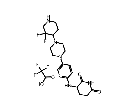 O=C(O)C(F)(F)F.O=C1CCC(Nc2ccc(N3CCN(C4CCNCC4(F)F)CC3)cn2)C(=O)N1